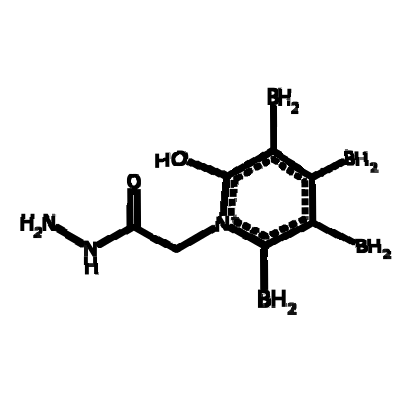 Bc1c(B)c(B)[n+](CC(=O)NN)c(O)c1B